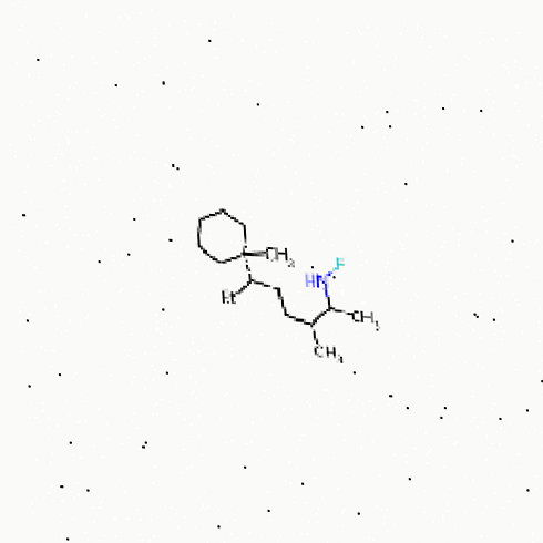 CCC(CCC(C)C(C)NF)C1(C)CCCCC1